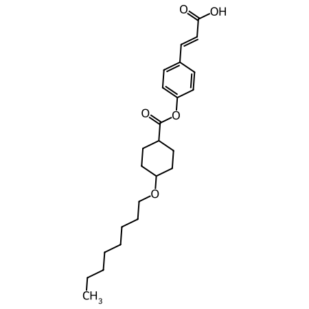 CCCCCCCCOC1CCC(C(=O)Oc2ccc(/C=C/C(=O)O)cc2)CC1